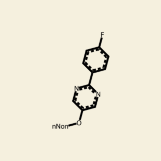 CCCCCCCCCOc1cnc(-c2ccc(F)cc2)nc1